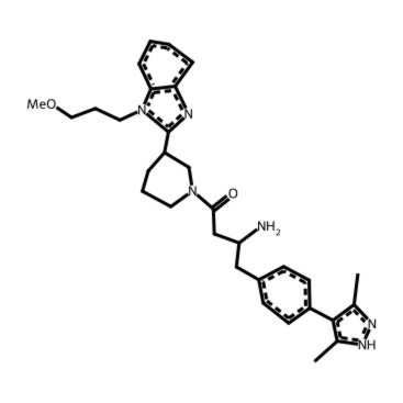 COCCCn1c(C2CCCN(C(=O)CC(N)Cc3ccc(-c4c(C)n[nH]c4C)cc3)C2)nc2ccccc21